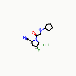 Cl.N#C[C@@H]1C[C@H](F)CN1C(=O)CNC1CCCC1